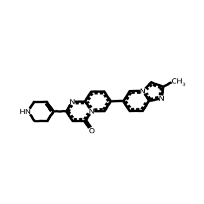 Cc1cn2cc(-c3ccc4nc(C5=CCNCC5)cc(=O)n4c3)ccc2n1